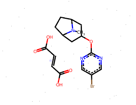 CN1C2CCC1CC(Oc1ncc(Br)cn1)C2.O=C(O)/C=C/C(=O)O